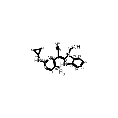 CCN1/C(=C(\C#N)c2nc(NC3CC3)ncc2C)Nc2ccccc21